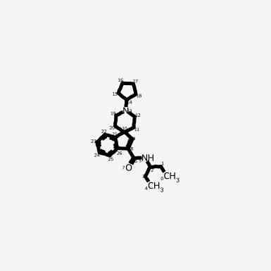 CCC(CC)NC(=O)C1=CC2(CCN(C3CCCC3)CC2)c2ccccc21